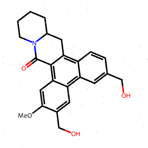 COc1cc2c3c(c4ccc(CO)cc4c2cc1CO)CC1CCCCN1C3=O